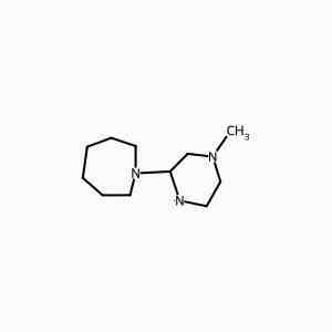 CN1CC[N]C(N2CCCCCC2)C1